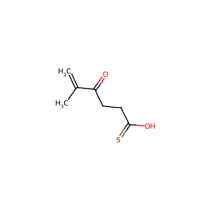 C=C(C)C(=O)CCC(O)=S